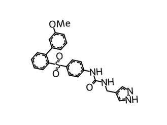 COc1cccc(-c2ccccc2S(=O)(=O)c2ccc(NC(=O)NCc3cn[nH]c3)cc2)c1